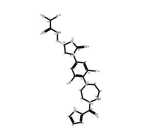 O=C(NC[C@H]1CN(c2cc(F)c(N3CCNN(C(=O)c4ccco4)CC3)c(F)c2)C(=O)O1)C(F)F